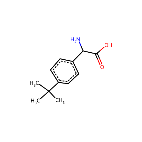 CC(C)(C)c1ccc(C(N)C(=O)O)cc1